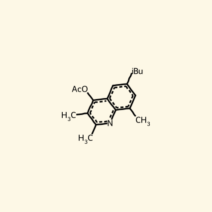 CCC(C)c1cc(C)c2nc(C)c(C)c(OC(C)=O)c2c1